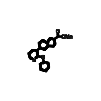 COC(=O)c1ccc2cc(-c3cccnc3Oc3ccccc3)ccc2c1